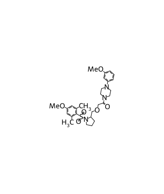 COc1cccc(N2CCN(C(=O)COCC3CCCN3S(=O)(=O)c3c(C)cc(OC)cc3C)CC2)c1